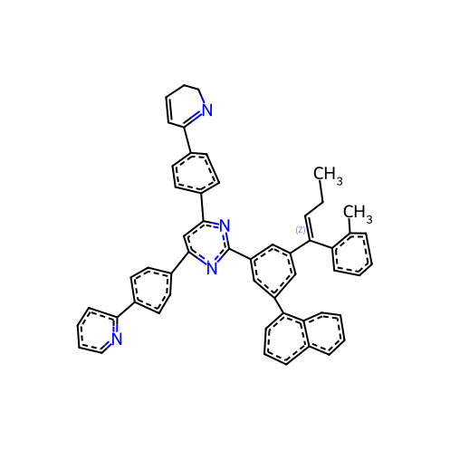 CC/C=C(/c1cc(-c2nc(-c3ccc(C4=NCCC=C4)cc3)cc(-c3ccc(-c4ccccn4)cc3)n2)cc(-c2cccc3ccccc23)c1)c1ccccc1C